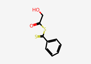 O=C(CO)SC(=S)c1ccccc1